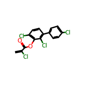 C=C(Cl)C(=O)Oc1c(Cl)ccc(-c2ccc(Cl)cc2)c1Cl